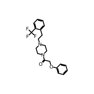 O=C(COc1ccccc1)N1CCN(CCc2ccccc2C(F)(F)F)CC1